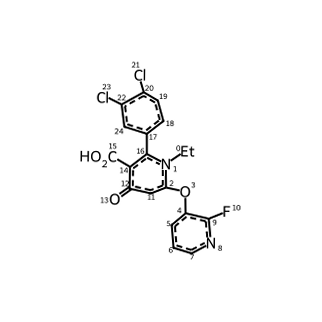 CCn1c(Oc2cccnc2F)cc(=O)c(C(=O)O)c1-c1ccc(Cl)c(Cl)c1